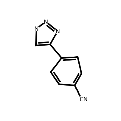 N#Cc1ccc(C2=C[N]N=N2)cc1